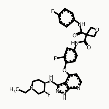 CCN1CC[C@@H](Nc2n[nH]c3nccc(Oc4ccc(NC(=O)C5(C(=O)Nc6ccc(F)cc6)COC5)cc4F)c23)[C@@H](F)C1